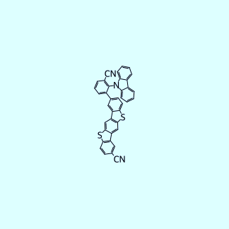 N#Cc1ccc2sc3cc4c(cc3c2c1)sc1ccc(-c2cccc(C#N)c2-n2c3ccccc3c3ccccc32)cc14